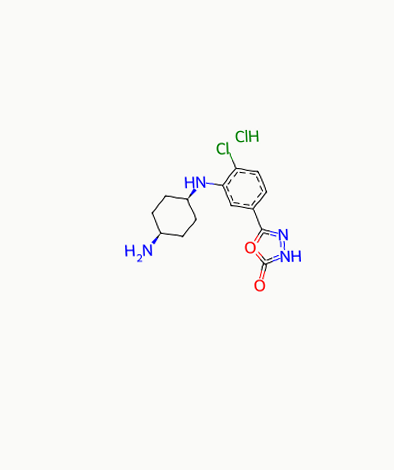 Cl.N[C@H]1CC[C@@H](Nc2cc(-c3n[nH]c(=O)o3)ccc2Cl)CC1